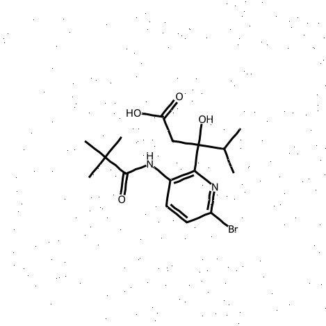 CC(C)C(O)(CC(=O)O)c1nc(Br)ccc1NC(=O)C(C)(C)C